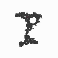 CC[C@H]1OC(=O)[C@H](C)[C@@H](O[C@H]2C[C@@](C)(OC)[C@@H](O)[C@H](C)O2)[C@H](C)[C@@H](O[C@H]2C[C@@H](N(C)CCc3cn([C@H](CF)[C@H](OC)c4ccc(-c5cnoc5)cc4)nn3)C[C@@H](C)O2)[C@](C)(O)C[C@@H](C)CN(C)[C@H](C)[C@@H](O)[C@]1(C)O